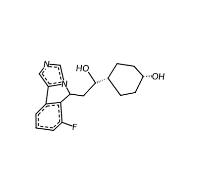 OC(CC1c2c(F)cccc2-c2cncn21)[C@H]1CC[C@@H](O)CC1